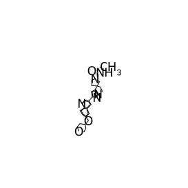 CCNC(=O)N1CCC2(CCn3nc(-c4cnc5ccc(OC6CCOCC6)cc5c4)cc32)C1